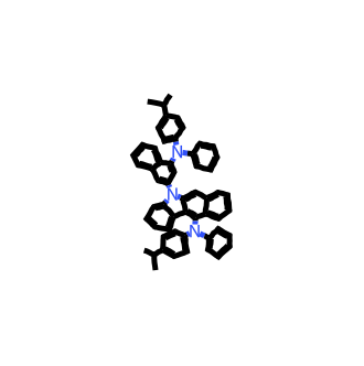 CC(C)c1ccc(N(c2ccccc2)c2cc(-n3c4ccccc4c4c(N(c5ccccc5)c5ccc(C(C)C)cc5)c5ccccc5cc43)cc3ccccc23)cc1